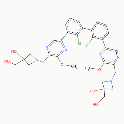 COc1nc(-c2cccc(-c3cccc(-c4cnc(CN5CC(O)(CO)C5)c(OC)n4)c3Cl)c2Cl)cnc1CN1CC(O)(CO)C1